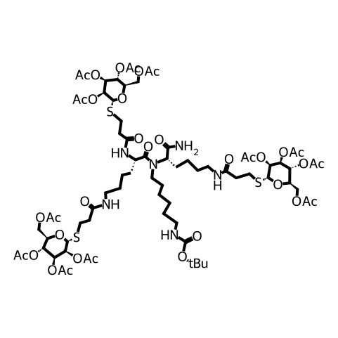 CC(=O)OC[C@H]1O[C@H](SCCC(=O)NCCCC[C@H](NC(=O)CCS[C@H]2O[C@H](COC(C)=O)[C@@H](OC(C)=O)[C@H](OC(C)=O)[C@@H]2OC(C)=O)C(=O)N(CCCCCCNC(=O)OC(C)(C)C)[C@@H](CCCCNC(=O)CCS[C@H]2O[C@H](COC(C)=O)[C@@H](OC(C)=O)[C@H](OC(C)=O)[C@@H]2OC(C)=O)C(N)=O)[C@@H](OC(C)=O)[C@@H](OC(C)=O)[C@@H]1OC(C)=O